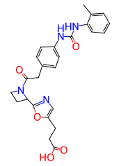 Cc1ccccc1NC(=O)Nc1ccc(CC(=O)N2CCC2c2ncc(CCC(=O)O)o2)cc1